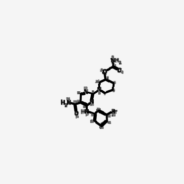 NC(=O)OC1CCCN(c2ncc(C(N)=O)c(Nc3cccc(Br)c3)n2)C1